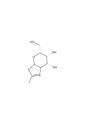 CC1=NC2C(O[C@H](CO)[C@H](O)[C@@H]2O)S1